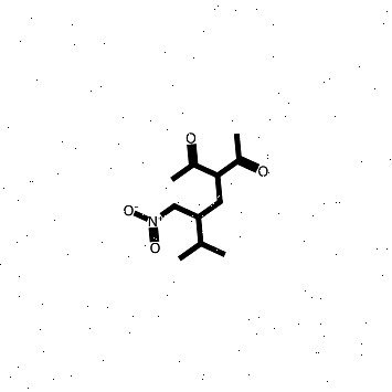 CC(=O)C(CC(C[N+](=O)[O-])C(C)C)C(C)=O